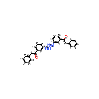 O=C(Cc1ccccc1)c1cccc(/N=N/Nc2cccc(C(=O)Cc3ccccc3)c2)c1